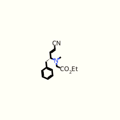 CCOC(=O)CN(C)[C@@H](/C=C/C#N)Cc1ccccc1